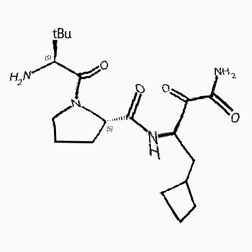 CC(C)(C)[C@H](N)C(=O)N1CCC[C@H]1C(=O)NC(CC1CCC1)C(=O)C(N)=O